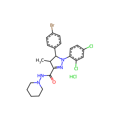 CC1C(C(=O)NN2CCCCC2)=NN(c2ccc(Cl)cc2Cl)C1c1ccc(Br)cc1.Cl